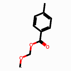 [CH2]OCOC(=O)c1ccc(C)cc1